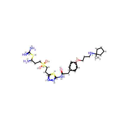 CC1(NCCCOc2ccc(CC(=O)Nc3nnc(CCS(=O)(=O)CCC(N)SC(=N)N)s3)cc2)CCCC1